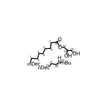 CCCCCCCCCCCCCCCCCC(=O)OCC(O)CO.CCCCCCCCCCCCNCCCC